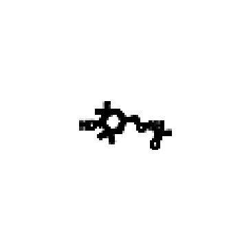 CC(=O)NOCC1CC(C)(C)N(O)C(C)(C)C1